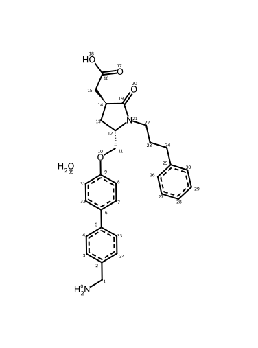 NCc1ccc(-c2ccc(OC[C@@H]3C[C@@H](CC(=O)O)C(=O)N3CCCc3ccccc3)cc2)cc1.O